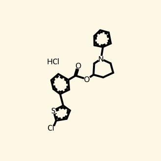 Cl.O=C(OC1CCCN(c2ccccc2)C1)c1cccc(-c2ccc(Cl)s2)c1